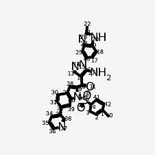 CC1=CCC(S(=O)(=O)n2c(C(=O)c3cnn(-c4ccc5[nH]c(C)nc5c4)c3N)cc3ccc(-c4cccnc4)cc32)C=C1